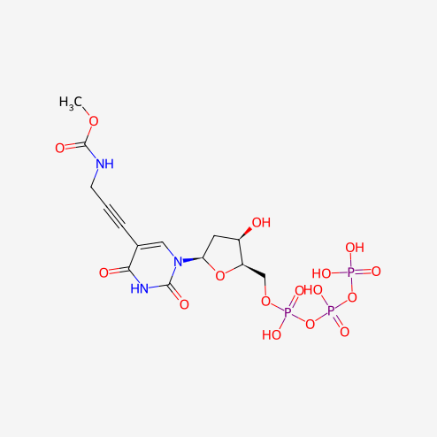 COC(=O)NCC#Cc1cn([C@H]2C[C@@H](O)[C@@H](COP(=O)(O)OP(=O)(O)OP(=O)(O)O)O2)c(=O)[nH]c1=O